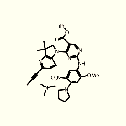 CC#Cc1ccc2c(n1)C(C)(C)CN2c1nc(Nc2cc([N+](=O)[O-])c(N3CCC[C@@H]3CN(C)C)cc2OC)ncc1C(=O)OC(C)C